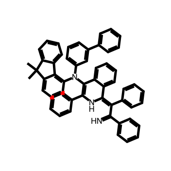 CC1(C)c2ccccc2-c2c(N(C3=C(c4ccccc4)N/C(=C(\C(=N)c4ccccc4)c4ccccc4)c4ccccc43)c3cccc(-c4ccccc4)c3)cccc21